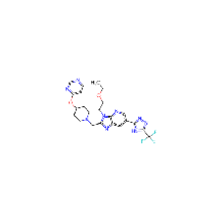 CCOCCn1c(CN2CCC(Oc3ccncn3)CC2)nc2cc(-c3nnc(C(F)(F)F)[nH]3)cnc21